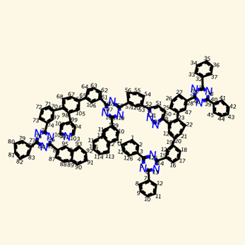 c1ccc(-c2nc(-c3ccccc3)nc(-c3cccc(-c4ccc(-c5cccc(-c6nc(-c7ccccc7)nc(-c7ccccc7)n6)c5)c(-c5ccc(-c6cccc(-c7nc(-c8cccc(-c9ccc(-c%10cccc(-c%11nc(-c%12ccccc%12)nc(-c%12ccc%13ccccc%13c%12)n%11)c%10)c(-c%10ccncc%10)c9)c8)nc(-c8ccc9ccccc9c8)n7)c6)nn5)c4)c3)n2)cc1